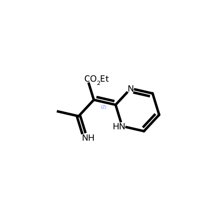 CCOC(=O)/C(C(C)=N)=C1\N=CC=CN1